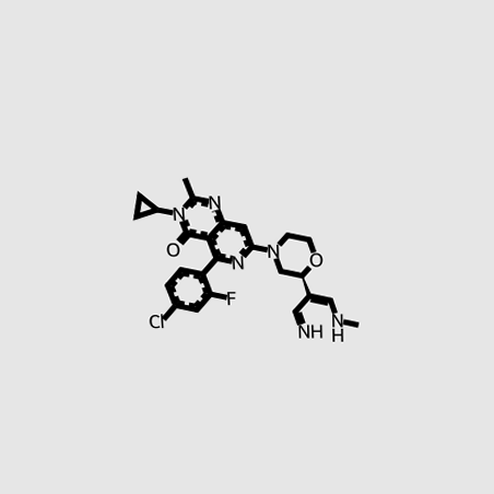 CN/C=C(\C=N)[C@H]1CN(c2cc3nc(C)n(C4CC4)c(=O)c3c(-c3ccc(Cl)cc3F)n2)CCO1